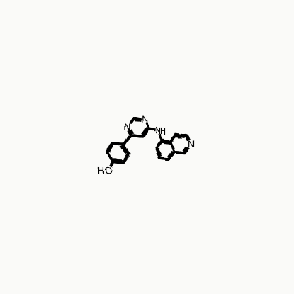 Oc1ccc(-c2cc(Nc3cccc4cnccc34)ncn2)cc1